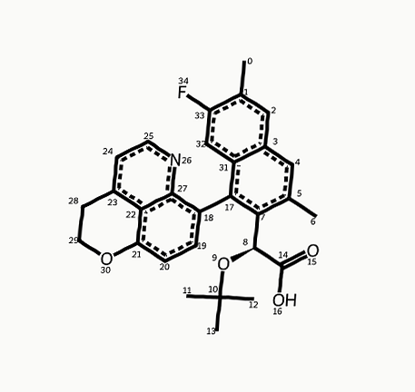 Cc1cc2cc(C)c([C@H](OC(C)(C)C)C(=O)O)c(-c3ccc4c5c(ccnc35)CCO4)c2cc1F